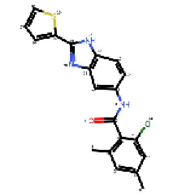 Cc1cc(C)c(C(=O)Nc2ccc3[nH]c(-c4cccs4)nc3c2)c(Cl)c1